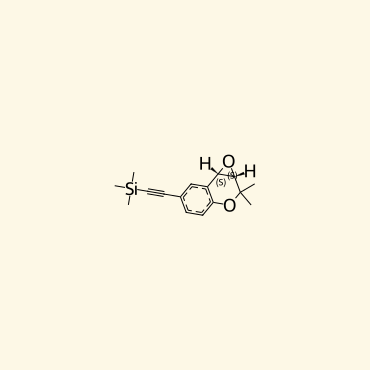 CC1(C)Oc2ccc(C#C[Si](C)(C)C)cc2[C@@H]2O[C@@H]21